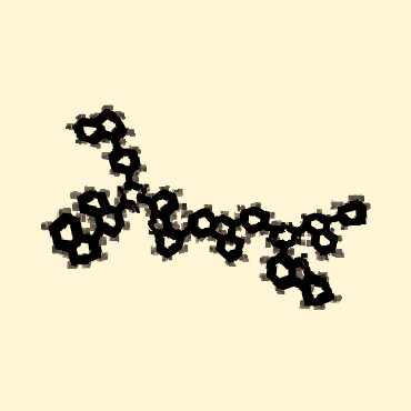 c1ccc(-c2ccc(-c3nc(-c4cccc(-c5cc6ccc(-c7cccc8sc9c(-c%10nc(-c%11ccc(-c%12cccc%13ccccc%12%13)cc%11)nc(-c%11ccc(-c%12cccc%13ccccc%12%13)c%12ccccc%11%12)n%10)cccc9c78)cc6c6ccccc56)c4)nc(-c4cccc5c4sc4ccccc45)n3)c3ccccc23)cc1